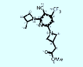 COC(=O)CC1CN(c2cc(C(F)(F)F)c(C#N)c(N3CC[C@@H]3C)n2)C1